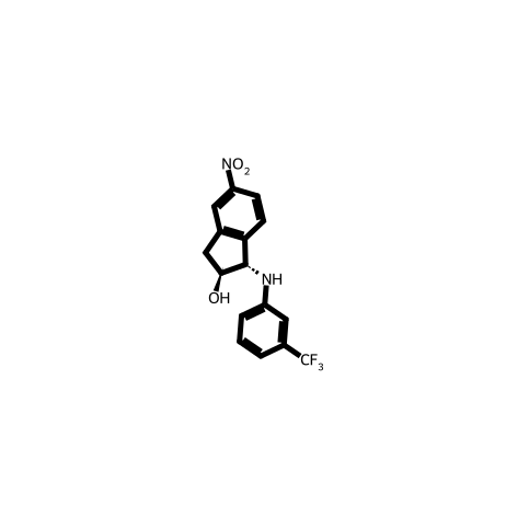 O=[N+]([O-])c1ccc2c(c1)C[C@H](O)[C@H]2Nc1cccc(C(F)(F)F)c1